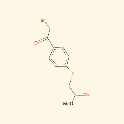 COC(=O)CSc1ccc(C(=O)CBr)cc1